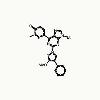 CCn1cnc2c(-c3ccc(=O)n(C)n3)nc(-n3cc(-c4ccccc4)c(OC)n3)nc21